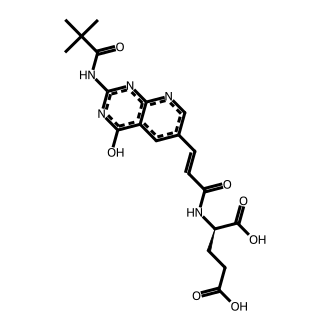 CC(C)(C)C(=O)Nc1nc(O)c2cc(C=CC(=O)N[C@H](CCC(=O)O)C(=O)O)cnc2n1